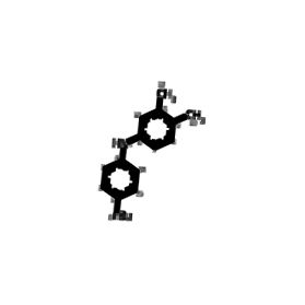 CCCCc1ccc(Nc2ccc(C)c(C)c2)cc1